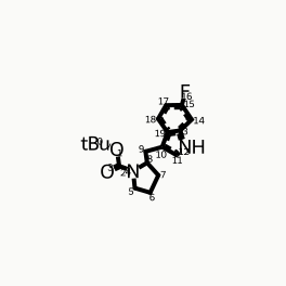 CC(C)(C)OC(=O)N1CCCC1Cc1c[nH]c2cc(F)ccc12